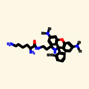 CCN(CC)c1ccc2c(c1)Oc1cc(N(CC)CC)ccc1C2(NCCCNC(=O)C(N)CCCCN)c1ccccc1C=O